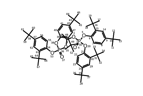 CC(OP(=O)(Oc1ccc(C(C)(C)C)cc1C(C)(C)C)Oc1ccc(C(C)(C)C)cc1C(C)(C)C)OP(=O)(Oc1ccc(C(C)(C)C)cc1C(C)(C)C)Oc1ccc(C(C)(C)C)cc1C(C)(C)C